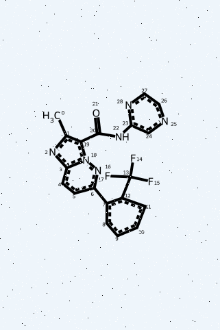 Cc1nc2ccc(-c3ccccc3C(F)(F)F)nn2c1C(=O)Nc1cnccn1